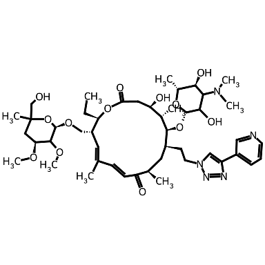 CC[C@H]1OC(=O)C[C@@H](O)[C@H](C)[C@@H](O[C@@H]2O[C@H](C)[C@@H](O)C(N(C)C)C2O)[C@@H](CCn2cc(-c3cccnc3)nn2)C[C@@H](C)C(=O)/C=C/C(C)=C/[C@@H]1CO[C@@H]1OC(C)(CO)C[C@H](OC)C1OC